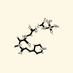 CCCCS(=O)(=O)NC(CNC(=O)CNC(=O)C(C)N(C)C(=O)CCC1CCNCC1)C(=O)O